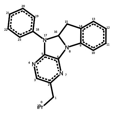 CC(C)Cc1cnc2c(n1)N1c3ccccc3CC1N2c1ccccc1